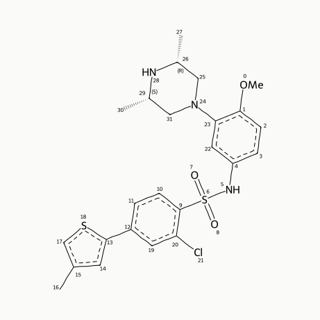 COc1ccc(NS(=O)(=O)c2ccc(-c3cc(C)cs3)cc2Cl)cc1N1C[C@@H](C)N[C@@H](C)C1